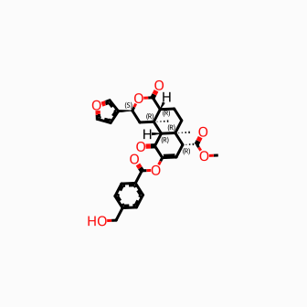 COC(=O)[C@@H]1C=C(OC(=O)c2ccc(CO)cc2)C(=O)[C@H]2[C@@]1(C)CC[C@H]1C(=O)O[C@H](c3ccoc3)C[C@]21C